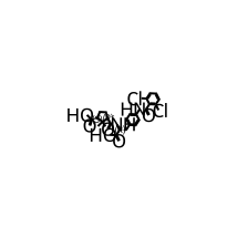 CC1(C)[C@@H](C(=O)O)CC[C@@]1(C)C(=O)N[C@H](Cc1ccc(NC(=O)c2c(Cl)cccc2Cl)cc1)C(=O)O